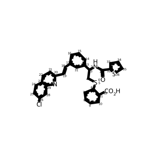 O=C(NC(CSc1ccccc1C(=O)O)c1cccc(/C=C/c2ccc3ccc(Cl)cc3n2)c1)c1cccs1